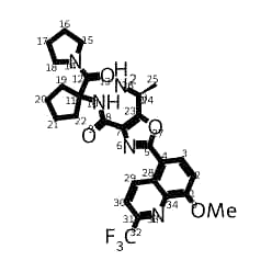 COc1ccc(-c2nc(C(=O)NC3(C(=O)N4CCCC4)CCCC3)c([C@H](C)N)o2)c2ccc(C(F)(F)F)nc12